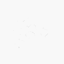 CCCC(C(=O)OC)c1c(C)nc(-c2ccccc2)nc1-c1ccc2c(c1)CCO2